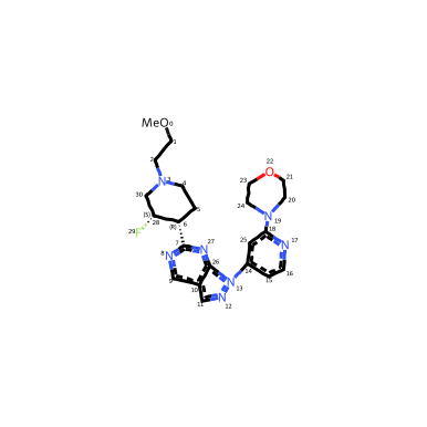 COCCN1CC[C@H](c2ncc3cnn(-c4ccnc(N5CCOCC5)c4)c3n2)[C@H](F)C1